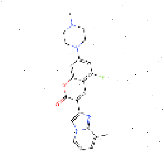 Cc1cccn2cc(-c3cc4c(F)cc(N5CCN(C)CC5)cc4oc3=O)nc12